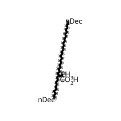 CCCCCCCCCCCCCCCCCCCCCCCCCCCCCCCCCCC(CCCCCCCCCCCCCCCCCCCC)=C(C)C(=O)O